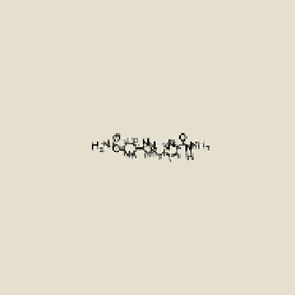 NNC(=O)c1ccc(Cn2cc(-c3ccc(OC(N)=O)nc3)nn2)nn1